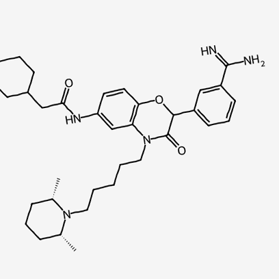 C[C@@H]1CCC[C@H](C)N1CCCCCN1C(=O)C(c2cccc(C(=N)N)c2)Oc2ccc(NC(=O)CC3CCCCC3)cc21